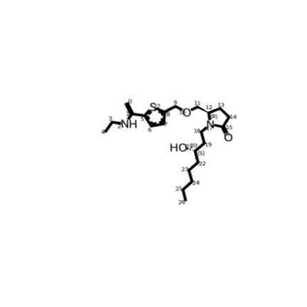 C=C(NCC)c1ccc(COC[C@H]2CCC(=O)N2CC[C@@H](O)CCCCC)s1